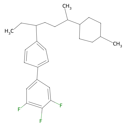 CCC(CCC(C)C1CCC(C)CC1)c1ccc(-c2cc(F)c(F)c(F)c2)cc1